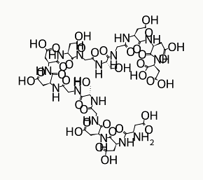 N[C@@H](CC(=O)O)C(=O)N[C@@H](CC(=O)O)C(=O)N[C@@H](CC(=O)O)C(=O)NCC(=O)N[C@@H](CO)C(=O)NCC(=O)N[C@@H](CC(=O)O)C(=O)N[C@@H](CC(=O)O)C(=O)N[C@@H](CC(=O)O)C(=O)NCC(=O)N[C@@H](CO)C(=O)NCC(=O)N[C@@H](CC(=O)O)C(=O)N[C@@H](CC(=O)O)C(=O)N[C@@H](CC(=O)O)C(=O)O